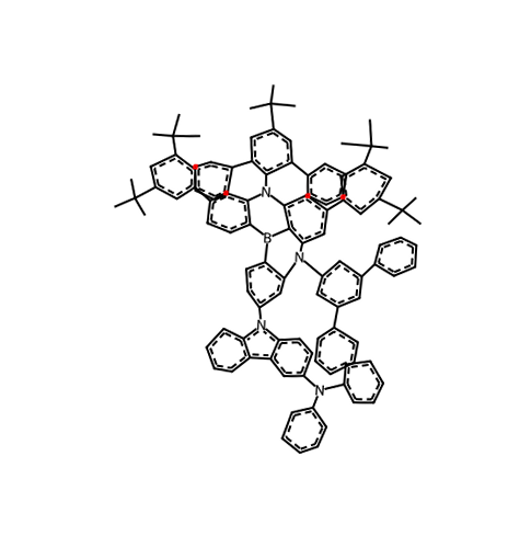 CC(C)(C)c1cc(-c2ccc3c(c2)N(c2c(-c4ccccc4)cc(C(C)(C)C)cc2-c2ccccc2)c2cc(-c4cc(C(C)(C)C)cc(C(C)(C)C)c4)cc4c2B3c2ccc(-n3c5ccccc5c5cc(N(c6ccccc6)c6ccccc6)ccc53)cc2N4c2cc(-c3ccccc3)cc(-c3ccccc3)c2)cc(C(C)(C)C)c1